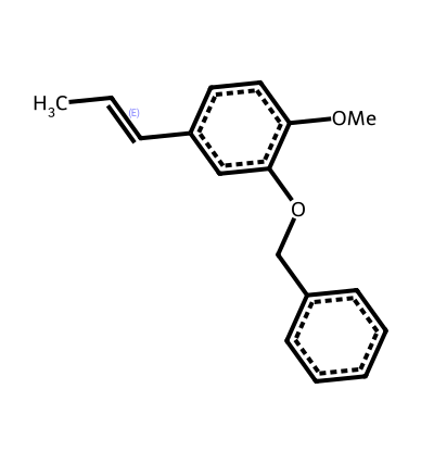 C/C=C/c1ccc(OC)c(OCc2ccccc2)c1